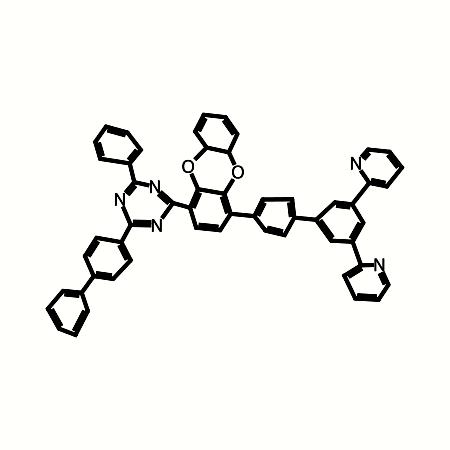 C1=CC2Oc3c(-c4ccc(-c5cc(-c6ccccn6)cc(-c6ccccn6)c5)cc4)ccc(-c4nc(-c5ccccc5)nc(-c5ccc(-c6ccccc6)cc5)n4)c3OC2C=C1